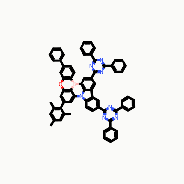 Cc1cc(C)c(-c2cc3c4c(c2)-n2c5ccc(-c6nc(-c7ccccc7)nc(-c7ccccc7)n6)cc5c5cc(-c6nc(-c7ccccc7)nc(-c7ccccc7)n6)cc(c52)B4c2ccc(-c4ccccc4)cc2O3)c(C)c1